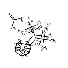 CC(=O)O.CC(C)(C)P(C(C)(C)C)[C]12[CH]3[CH]4[CH]5[CH]1[Fe]45321678[CH]2[CH]1[CH]6[C]7(P(C(C)(C)C)C(C)(C)C)[CH]28.[Pd]